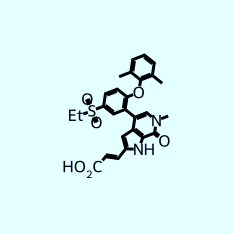 CCS(=O)(=O)c1ccc(Oc2c(C)cccc2C)c(-c2cn(C)c(=O)c3[nH]c(C=CC(=O)O)cc23)c1